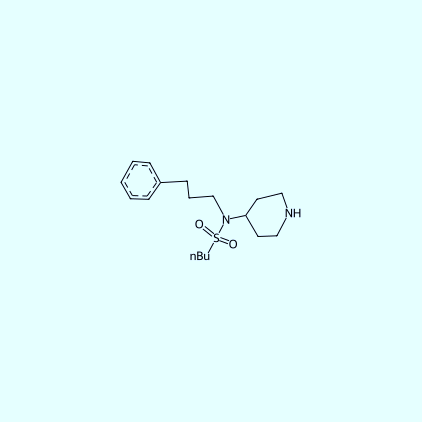 CCCCS(=O)(=O)N(CCCc1ccccc1)C1CCNCC1